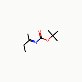 CCC(C)=NC(=O)OC(C)(C)C